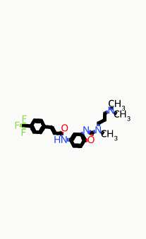 CN(C)CCCN(C)c1nc2cc(NC(=O)C=Cc3ccc(C(F)(F)F)cc3)ccc2o1